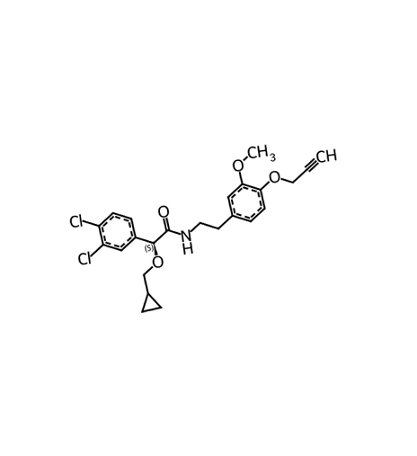 C#CCOc1ccc(CCNC(=O)[C@@H](OCC2CC2)c2ccc(Cl)c(Cl)c2)cc1OC